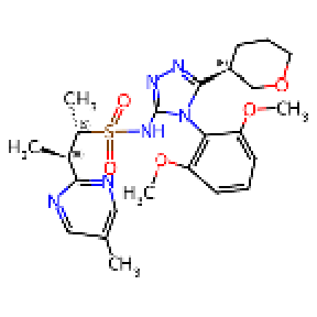 COc1cccc(OC)c1-n1c(NS(=O)(=O)[C@@H](C)[C@H](C)c2ncc(C)cn2)nnc1[C@H]1CCCOC1